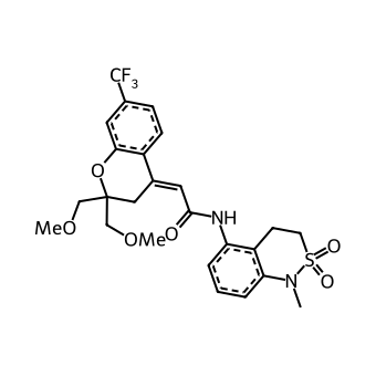 COCC1(COC)C/C(=C\C(=O)Nc2cccc3c2CCS(=O)(=O)N3C)c2ccc(C(F)(F)F)cc2O1